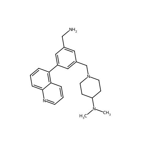 CN(C)C1CCN(Cc2cc(CN)cc(-c3cccc4ncccc34)c2)CC1